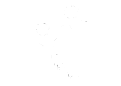 O.O.O.O.O=C([O-])c1ccccc1C(=O)O[O-].O=C([O-])c1ccccc1C(=O)O[O-].[Mg+2].[Mg+2]